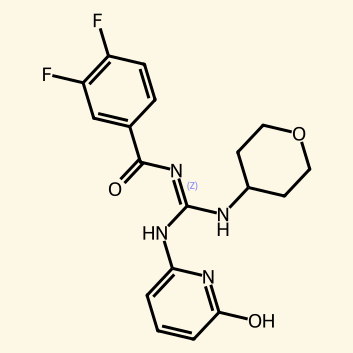 O=C(/N=C(\Nc1cccc(O)n1)NC1CCOCC1)c1ccc(F)c(F)c1